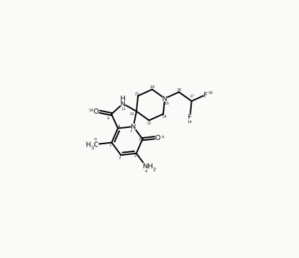 Cc1cc(N)c(=O)n2c1C(=O)NC21CCN(CC(F)F)CC1